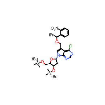 CC(C)C(OCc1cn([C@H]2C[C@@H](O[Si](C)(C)C(C)(C)C)[C@@H](CO[Si](C)(C)C(C)(C)C)O2)c2ncnc(Cl)c12)c1ccccc1[N+](=O)[O-]